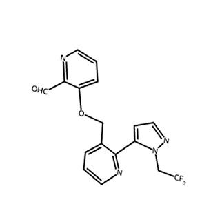 O=Cc1ncccc1OCc1cccnc1-c1ccnn1CC(F)(F)F